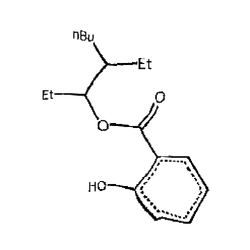 CCCCC(CC)C(CC)OC(=O)c1ccccc1O